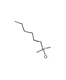 CCCCCC[N+](C)(C)[O-]